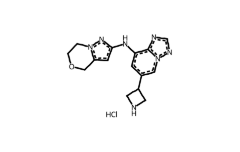 Cl.c1nc2c(Nc3cc4n(n3)CCOC4)cc(C3CNC3)cn2n1